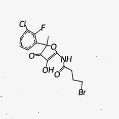 CC1(c2cccc(Cl)c2F)OC(NC(=O)CCCBr)=C(O)C1=O